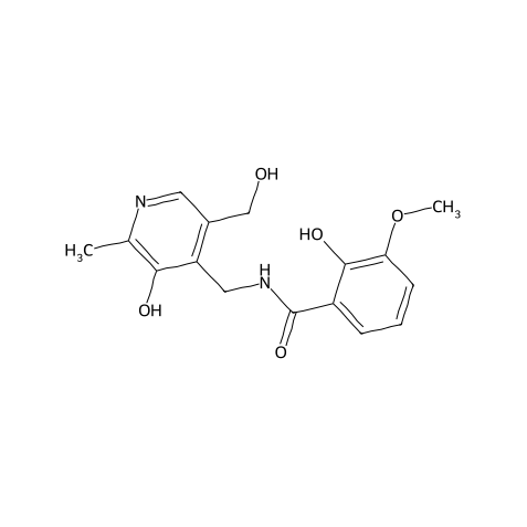 COc1cccc(C(=O)NCc2c(CO)cnc(C)c2O)c1O